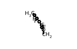 C=CCCOc1ccc(/C=C/C2CCC(c3ccc(-c4ccc(C)cc4)c(F)c3F)CC2)c(F)c1F